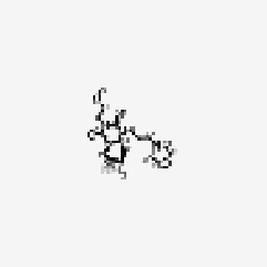 COCCn1c(=O)c2cc(N)ccc2n(CCCN2CCOCC2)c1=O